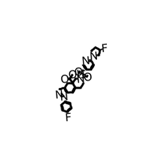 O=C(O)C12Cc3cnn(-c4ccc(F)cc4)c3C=C1CCN(S(=O)(=O)c1ccc(N3CC[C@@H](F)C3)nc1)C2